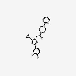 Cc1cc(-c2cc(C3CC3)n(CC(=O)N3CCN(c4ncccn4)CC3)n2)ccc1F